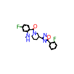 CNc1cc(F)ccc1C(=O)N1CCCC(c2noc(-c3ccccc3F)n2)C1